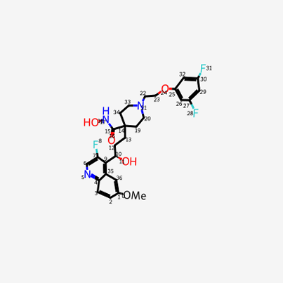 COc1ccc2ncc(F)c([C@H](O)CCC3(C(=O)NO)CCN(CCOc4cc(F)cc(F)c4)CC3)c2c1